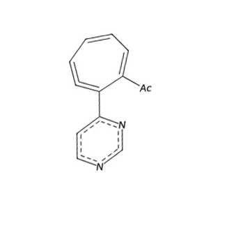 CC(=O)C1=CC=CC=C=C1c1ccncn1